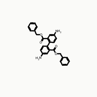 Nc1ccc(-c2ccc(N)cc2C(=O)OCc2ccccc2)c(C(=O)OCc2ccccc2)c1